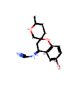 CC1CCC2(CO1)C/C(=N\C#N)c1cc(Br)ccc1O2